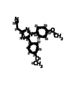 COc1ccc(-c2nc(CC#N)nn2-c2ccc(OC)cc2)cc1